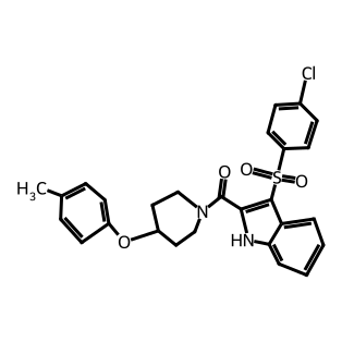 Cc1ccc(OC2CCN(C(=O)c3[nH]c4ccccc4c3S(=O)(=O)c3ccc(Cl)cc3)CC2)cc1